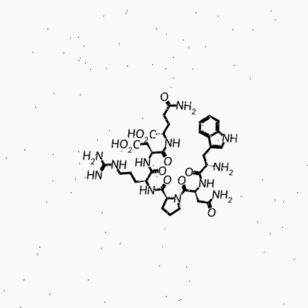 N=C(N)NCCC[C@H](NC(=O)[C@@H]1CCCN1C(=O)[C@H](CC(N)=O)NC(=O)[C@@H](N)Cc1c[nH]c2ccccc12)C(=O)N[C@@H](CC(=O)O)C(=O)N[C@@H](CCC(N)=O)C(=O)O